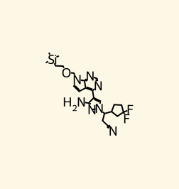 C[Si](C)(C)CCOCn1ccc2c(-c3cn(C(CC#N)C4CCC(F)(F)C4)nc3N)ncnc21